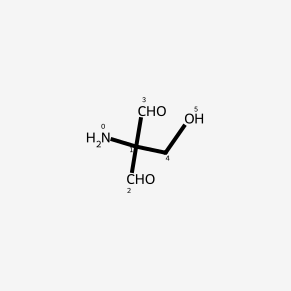 NC(C=O)(C=O)CO